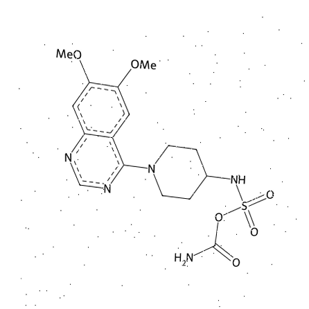 COc1cc2ncnc(N3CCC(NS(=O)(=O)OC(N)=O)CC3)c2cc1OC